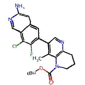 Cc1c(-c2cc3cc(N)ncc3c(Cl)c2F)cnc2c1N(C(=O)OC(C)(C)C)CCC2